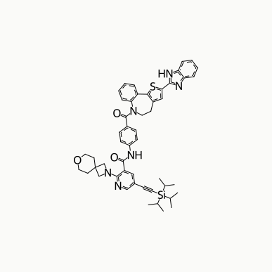 CC(C)[Si](C#Cc1cnc(N2CC3(CCOCC3)C2)c(C(=O)Nc2ccc(C(=O)N3CCc4cc(-c5nc6ccccc6[nH]5)sc4-c4ccccc43)cc2)c1)(C(C)C)C(C)C